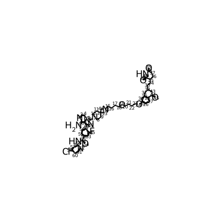 Nc1nccn2c(N3CCC4(CC3)CN(CCCCOCCCCOc3ccc5c(c3)CC(CCC3CCC(=O)NC3=O)CC5=O)C4)nc(-c3ccc(C(=O)Nc4cc(Cl)ccn4)cc3F)c12